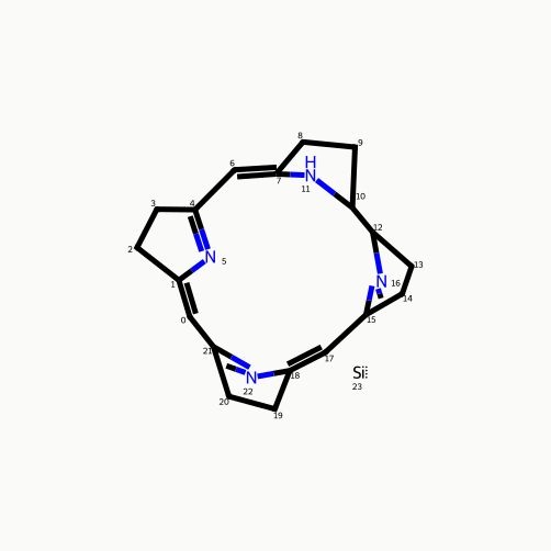 C1=C2CCC(=N2)C=C2CCC(N2)C2CCC(=N2)C=C2CCC1=N2.[Si]